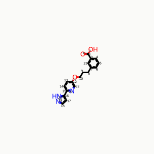 O=C(O)c1cccc(CCCOc2ccc(-c3ccn[nH]3)nc2)c1